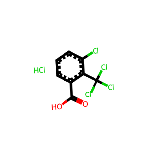 Cl.O=C(O)c1cccc(Cl)c1C(Cl)(Cl)Cl